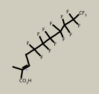 C/C(=C\CC(F)(F)C(F)(F)C(F)(F)C(F)(F)C(F)(F)C(F)(F)C(F)(F)F)C(=O)O